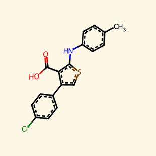 Cc1ccc(Nc2scc(-c3ccc(Cl)cc3)c2C(=O)O)cc1